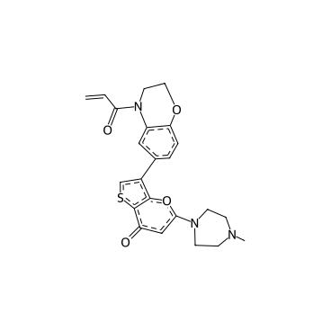 C=CC(=O)N1CCOc2ccc(-c3csc4c(=O)cc(N5CCN(C)CC5)oc34)cc21